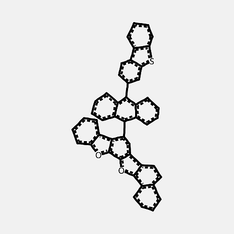 c1ccc2c(c1)ccc1c3cc(-c4c5ccccc5c(-c5ccc6c(c5)sc5ccccc56)c5ccccc45)c4c5ccccc5oc4c3oc21